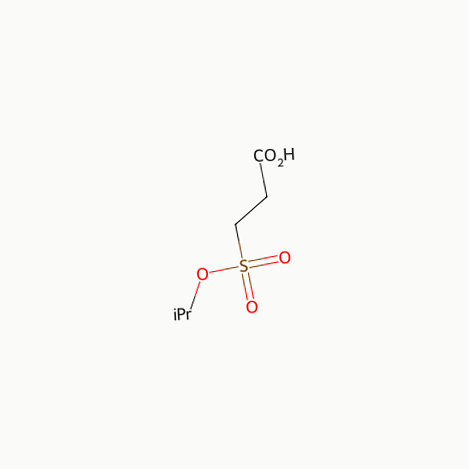 CC(C)OS(=O)(=O)CCC(=O)O